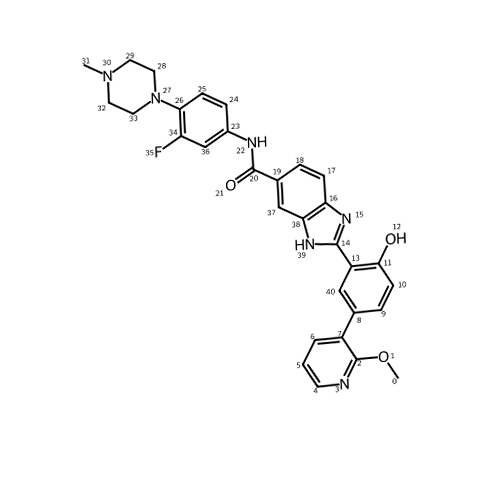 COc1ncccc1-c1ccc(O)c(-c2nc3ccc(C(=O)Nc4ccc(N5CCN(C)CC5)c(F)c4)cc3[nH]2)c1